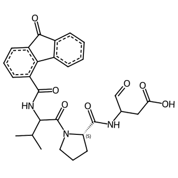 CC(C)C(NC(=O)c1cccc2c1-c1ccccc1C2=O)C(=O)N1CCC[C@H]1C(=O)NC(C=O)CC(=O)O